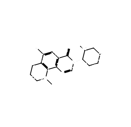 CN1CCCc2c(Br)cc3c(=O)n([C@H]4CCCC[C@@H]4O)cnc3c21